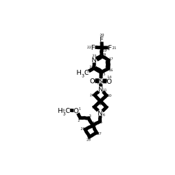 COCCC1(CN2CC3(C2)CN(S(=O)(=O)c2ccc(C(F)(F)F)nc2C)C3)CCC1